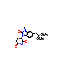 COC(Cc1ccc2c(c1)n(C)c(=O)n2C1CCC(=O)NC1=O)OC